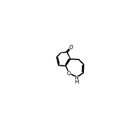 O=C1CC=CC2=C1CC=CNO2